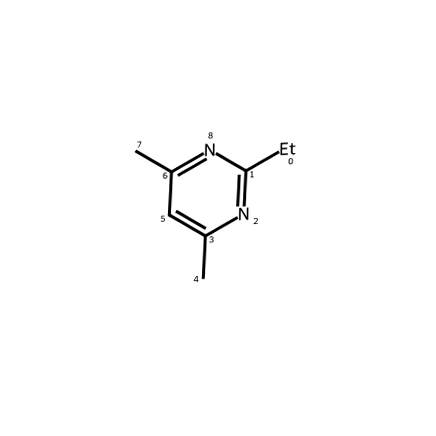 CCc1nc(C)cc(C)n1